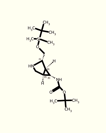 CC(C)(C)OC(=O)N[C@@H]1[C@H]2CN[C@H](CO[Si](C)(C)C(C)(C)C)[C@H]21